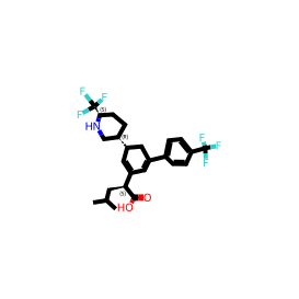 CC(C)C[C@H](C(=O)O)C1=CC([C@H]2CC[C@@H](C(F)(F)F)NC2)CC(c2ccc(C(F)(F)F)cc2)=C1